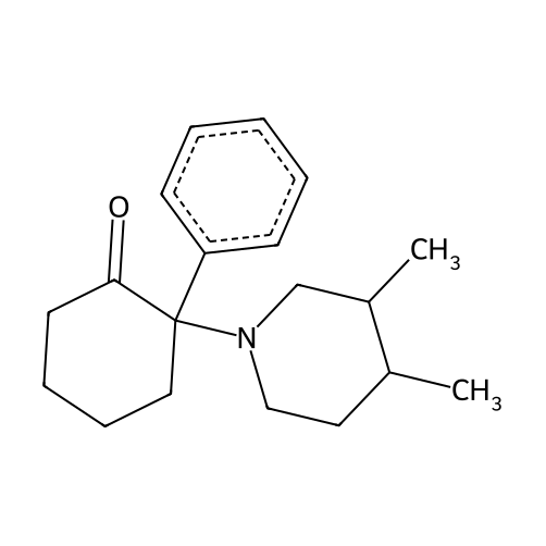 CC1CCN(C2(c3ccccc3)CCCCC2=O)CC1C